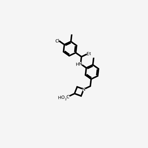 CCC(Nc1cc(CN2CC(C(=O)O)C2)ccc1C)c1ccc(Cl)c(C)c1